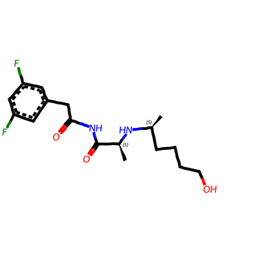 C[C@H](N[C@@H](C)CCCCO)C(=O)NC(=O)Cc1cc(F)cc(F)c1